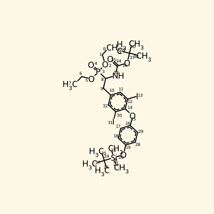 CCOP(=O)(OCC)C(Cc1cc(I)c(Oc2ccc(O[Si](C)(C)C(C)(C)C)cc2)c(I)c1)NC(=O)OC(C)(C)C